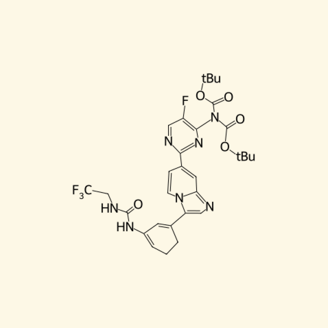 CC(C)(C)OC(=O)N(C(=O)OC(C)(C)C)c1nc(-c2ccn3c(C4=CC(NC(=O)NCC(F)(F)F)=CCC4)cnc3c2)ncc1F